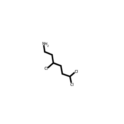 NCCC(Cl)CCC(Cl)Cl